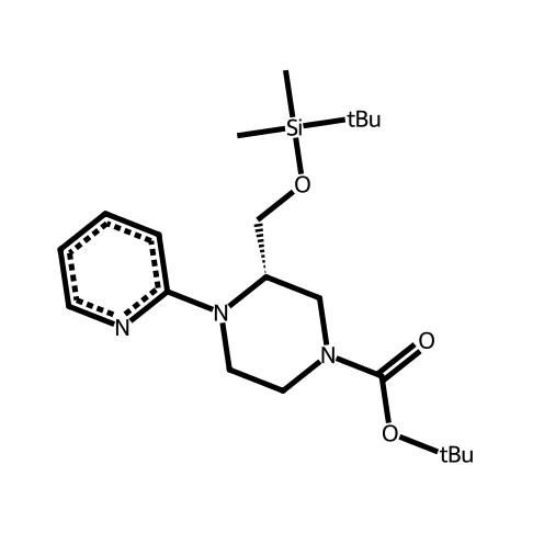 CC(C)(C)OC(=O)N1CCN(c2ccccn2)[C@H](CO[Si](C)(C)C(C)(C)C)C1